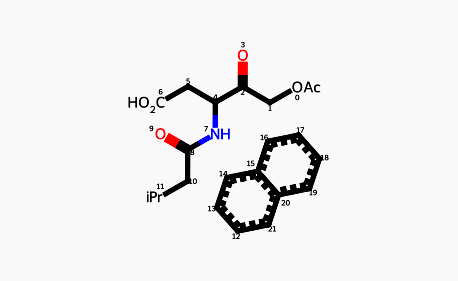 CC(=O)OCC(=O)C(CC(=O)O)NC(=O)CC(C)C.c1ccc2ccccc2c1